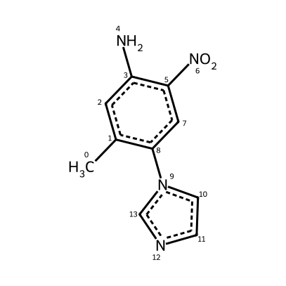 Cc1cc(N)c([N+](=O)[O-])cc1-n1ccnc1